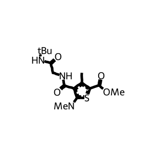 CNc1sc(C(=O)OC)c(C)c1C(=O)NCC(=O)NC(C)(C)C